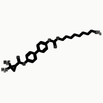 CCCCCCCCCOC(=O)Oc1ccc(-c2ccc(OC(=O)C3CC3(C)C)cc2)cc1